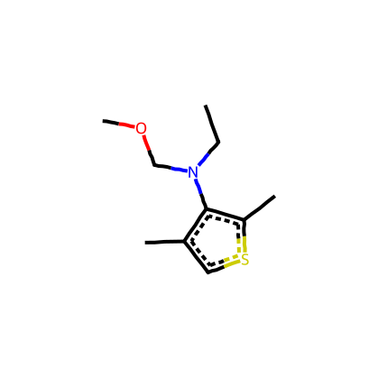 CCN(COC)c1c(C)csc1C